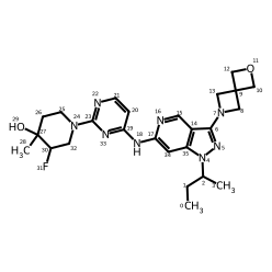 CCC(C)n1nc(N2CC3(COC3)C2)c2cnc(Nc3ccnc(N4CCC(C)(O)C(F)C4)n3)cc21